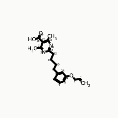 C=CCOc1cccc(CCCCc2nc(C)c(C(=O)O)c(C)n2)c1